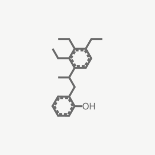 CCc1ccc(C(C)Cc2ccccc2O)c(CC)c1CC